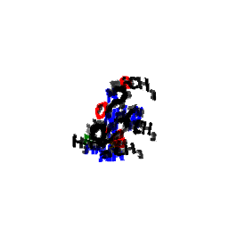 COc1ccc(C(=O)Nc2ccc(F)c([C@@]3(C)NC(=N)N(C)S(=O)(=O)[C@]34CCN(Cc3cnn(C)c3)C4)c2)nc1